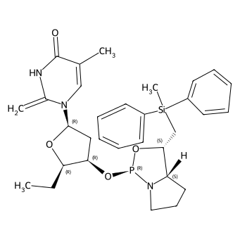 C=C1NC(=O)C(C)=CN1[C@H]1C[C@@H](O[P@@]2O[C@H](C[Si](C)(c3ccccc3)c3ccccc3)[C@@H]3CCCN32)[C@@H](CC)O1